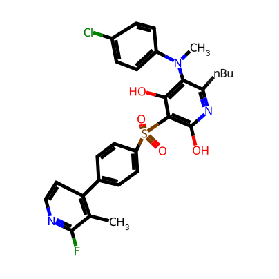 CCCCc1nc(O)c(S(=O)(=O)c2ccc(-c3ccnc(F)c3C)cc2)c(O)c1N(C)c1ccc(Cl)cc1